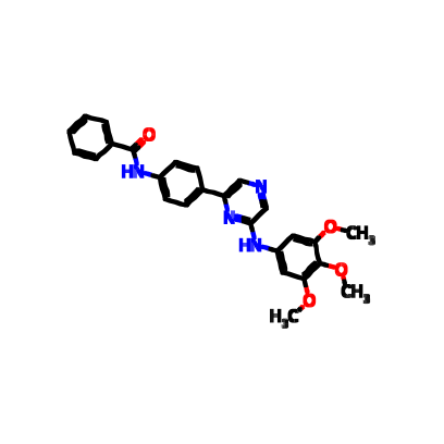 COc1cc(Nc2cncc(-c3ccc(NC(=O)c4ccccc4)cc3)n2)cc(OC)c1OC